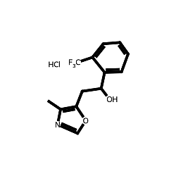 Cc1ncoc1CC(O)c1ccccc1C(F)(F)F.Cl